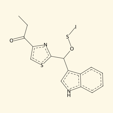 CCC(=O)c1csc(C(OSI)c2c[nH]c3ccccc23)n1